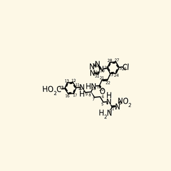 N/C(=N/[N+](=O)[O-])NCCC[C@@H](CNc1ccc(C(=O)O)cc1)NC(=O)/C=C/c1cc(Cl)ccc1-n1cnnn1